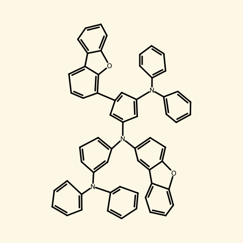 c1ccc(N(c2ccccc2)c2cccc(N(c3cc(-c4cccc5c4oc4ccccc45)cc(N(c4ccccc4)c4ccccc4)c3)c3ccc4oc5ccccc5c4c3)c2)cc1